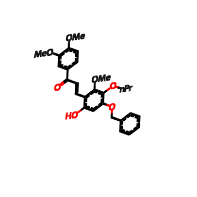 CCCOc1c(OCc2ccccc2)cc(O)c(C=CC(=O)c2ccc(OC)c(OC)c2)c1OC